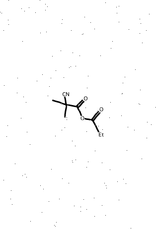 CCC(=O)OC(=O)C(C)(C)C#N